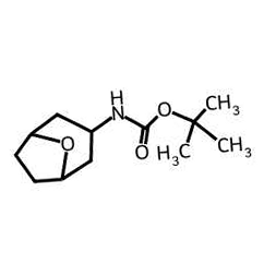 CC(C)(C)OC(=O)NC1CC2CCC(C1)O2